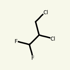 F[C](F)C(Cl)CCl